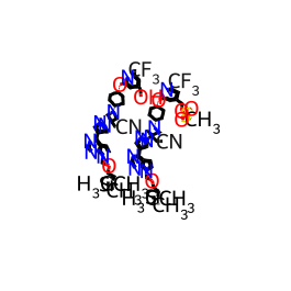 C[Si](C)(C)CCOCn1ccc2c(-c3cnn(C4(CC#N)CN([C@H]5CC[C@@H](Oc6cc(CO)cc(C(F)(F)F)n6)CC5)C4)c3)ncnc21.C[Si](C)(C)CCOCn1ccc2c(-c3cnn(C4(CC#N)CN([C@H]5CC[C@@H](Oc6cc(COS(C)(=O)=O)cc(C(F)(F)F)n6)CC5)C4)c3)ncnc21